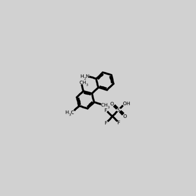 Cc1cc(C)c(-c2ccccc2N)c(C)c1.O=S(=O)(O)C(F)(F)F